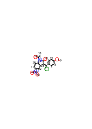 COc1ccc(C(Cl)=C2C(=O)N(C(C)=O)c3ccc([N+](=O)[O-])cc32)cc1